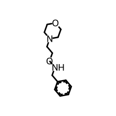 c1ccc(CNOCCN2CCOCC2)cc1